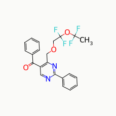 CC(F)(F)OC(F)(F)COCc1nc(-c2ccccc2)ncc1C(=O)c1ccccc1